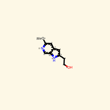 COc1cc2cc(CCO)[nH]c2cn1